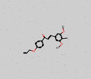 C=CCOc1ccc(C(=O)/C=C/c2cc(OCC)c(C)c(OCC)c2)cc1